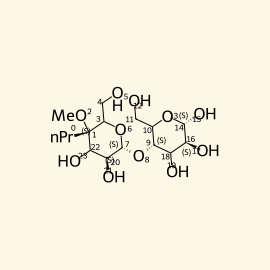 CCC[C@@]1(OC)C(CO)O[C@H](O[C@@H]2C(CO)O[C@H](O)[C@@H](O)C2O)[C@@H](O)C1O